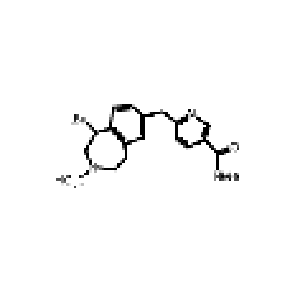 CNC(=O)c1ccc(Cc2ccc3c(c2)CCN(C(=O)O)CC3C(C)(C)C)nc1